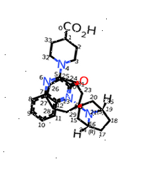 O=C(O)C1CCN(c2nc3ccccc3n([C@H]3C[C@H]4CC[C@@H](C3)N4C3CCCCCCC3)c2=O)CC1